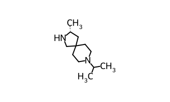 CC(C)N1CCC2(CC1)CN[C@H](C)C2